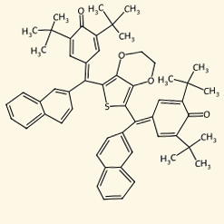 CC(C)(C)C1=CC(=C(c2ccc3ccccc3c2)c2sc(C(=C3C=C(C(C)(C)C)C(=O)C(C(C)(C)C)=C3)c3ccc4ccccc4c3)c3c2OCCO3)C=C(C(C)(C)C)C1=O